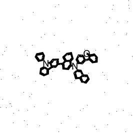 c1ccc(-n2c3ccccc3c3cc(-c4ccc(N(c5ccc6ccccc6c5)c5ccc6oc7ccccc7c6c5)c5ccccc45)ccc32)cc1